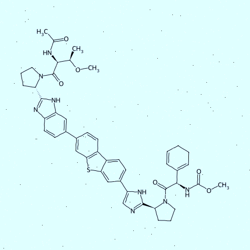 COC(=O)N[C@@H](C(=O)N1CCC[C@H]1c1ncc(-c2ccc3c(c2)sc2cc(-c4ccc5nc([C@@H]6CCCN6C(=O)[C@@H](NC(C)=O)[C@@H](C)OC)[nH]c5c4)ccc23)[nH]1)C1=CCCC=C1